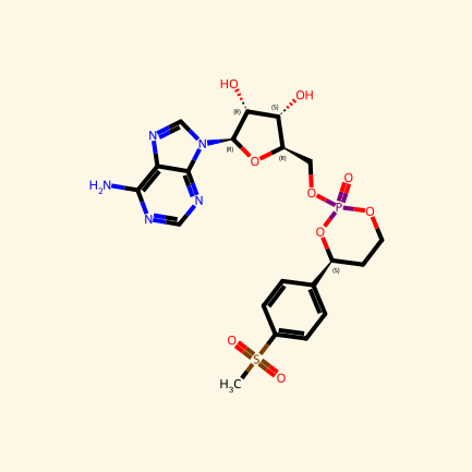 CS(=O)(=O)c1ccc([C@@H]2CCOP(=O)(OC[C@H]3O[C@@H](n4cnc5c(N)ncnc54)[C@H](O)[C@@H]3O)O2)cc1